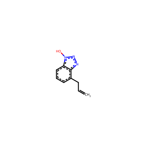 C=CCc1cccc2c1nnn2O